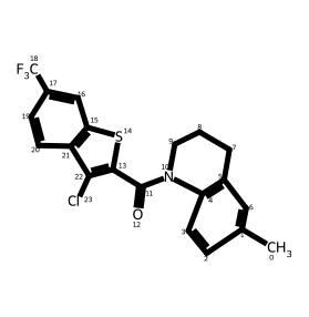 Cc1ccc2c(c1)CCCN2C(=O)c1sc2cc(C(F)(F)F)ccc2c1Cl